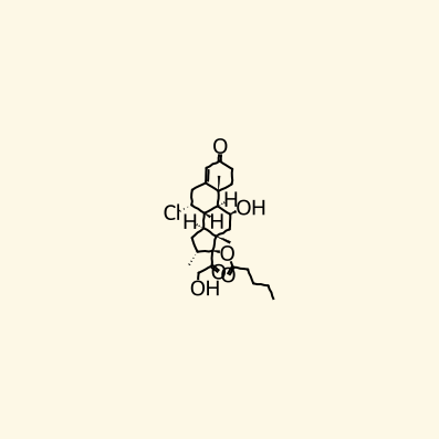 CCCCC(=O)O[C@@]1(C(=O)CO)[C@H](C)C[C@H]2[C@H]3[C@H]([C@@H](O)C[C@@]21C)[C@@]1(C)CCC(=O)C=C1C[C@H]3Cl